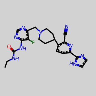 CCNC(=O)Nc1ncnc(CN2CCC(c3ccc(-c4ncc[nH]4)nc3C#N)CC2)c1F